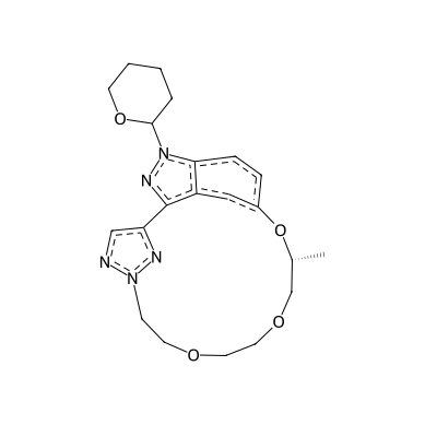 C[C@@H]1COCCOCCn2ncc(n2)-c2nn(C3CCCCO3)c3ccc(cc23)O1